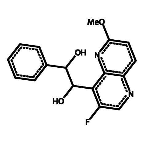 COc1ccc2ncc(F)c(C(O)C(O)c3ccccc3)c2n1